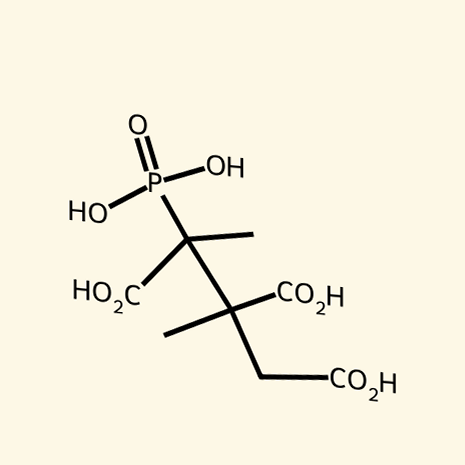 CC(CC(=O)O)(C(=O)O)C(C)(C(=O)O)P(=O)(O)O